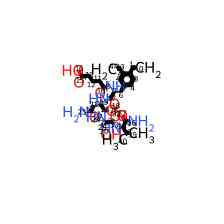 C=Cc1ccc(C[C@H](NC(=O)CCCC(=O)O)C(=O)N[C@@H](CC(N)=O)C(=O)N[C@@H](CO)C(=O)N[C@H](C(N)=O)C(C)C)cc1C=C